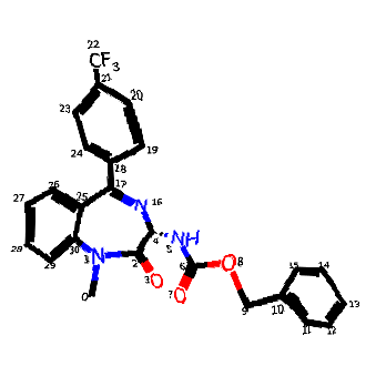 CN1C(=O)[C@@H](NC(=O)OCc2ccccc2)N=C(c2ccc(C(F)(F)F)cc2)c2ccccc21